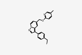 Cc1ccc(OCc2ccn3ncc(-c4ccc(CF)cc4)c3c2)nc1